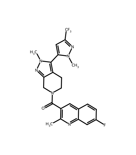 Cc1nc2cc(F)ccc2cc1C(=O)N1CCc2c(nn(C)c2-c2cc(C(F)(F)F)nn2C)C1